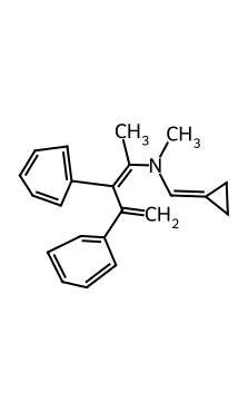 C=C(/C(=C(/C)N(C)C=C1CC1)c1ccccc1)c1ccccc1